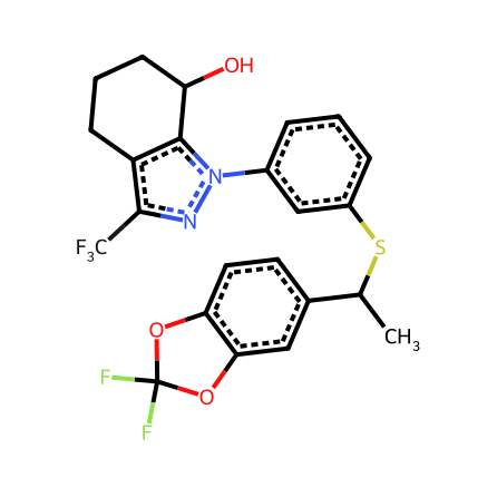 CC(Sc1cccc(-n2nc(C(F)(F)F)c3c2C(O)CCC3)c1)c1ccc2c(c1)OC(F)(F)O2